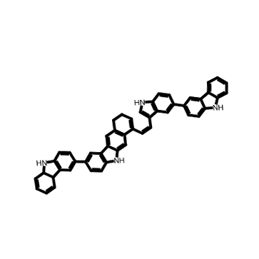 C1=CC2Nc3ccc(-c4ccc5[nH]c6cc7c(cc6c5c4)CCC=C7/C=C\c4c[nH]c5ccc(-c6ccc7[nH]c8ccccc8c7c6)cc45)cc3C2C=C1